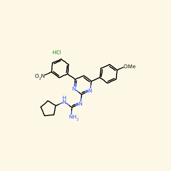 COc1ccc(-c2cc(-c3cccc([N+](=O)[O-])c3)nc(N=C(N)NC3CCCC3)n2)cc1.Cl